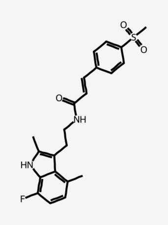 Cc1[nH]c2c(F)ccc(C)c2c1CCNC(=O)C=Cc1ccc(S(C)(=O)=O)cc1